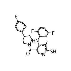 Cc1c(S)ncc(C(=O)N2CCC(c3ccc(F)cc3)CC2)c1Nc1cc(F)ccc1F